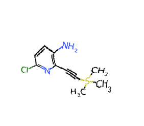 CS(C)(C)C#Cc1nc(Cl)ccc1N